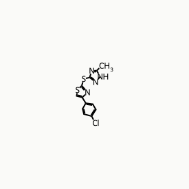 Cc1nc(Sc2nc(-c3ccc(Cl)cc3)cs2)n[nH]1